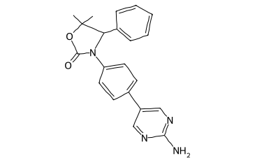 CC1(C)OC(=O)N(c2ccc(-c3cnc(N)nc3)cc2)C1c1ccccc1